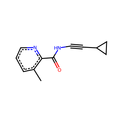 Cc1cccnc1C(=O)NC#CC1CC1